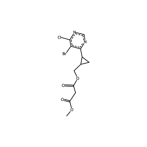 COC(=O)CC(=O)OCC1CC1c1ncnc(Cl)c1Br